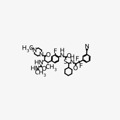 CNC(=O)N[C@@H](C(=O)N1CCN(C)CC1)[C@@H](C)c1ccc(NC(=O)SC(NC(=O)C(F)(F)c2cccc(C#N)c2)C2CCCCC2)c(F)c1